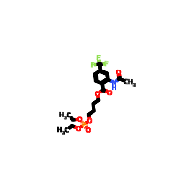 CCOP(=O)(OCC)OCCCCOC(=O)c1ccc(C(F)(F)F)cc1NC(C)=O